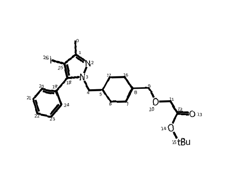 Cc1nn(CC2CCC(COCC(=O)OC(C)(C)C)CC2)c(-c2ccccc2)c1I